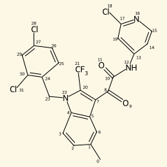 Cc1ccc2c(c1)c(C(=O)C(=O)Nc1ccnc(Cl)c1)c(C(F)(F)F)n2Cc1ccc(Cl)cc1Cl